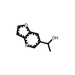 CC(O)c1cnc2ccoc2c1